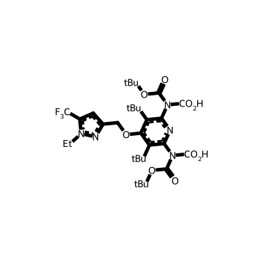 CCn1nc(COc2c(C(C)(C)C)c(N(C(=O)O)C(=O)OC(C)(C)C)nc(N(C(=O)O)C(=O)OC(C)(C)C)c2C(C)(C)C)cc1C(F)(F)F